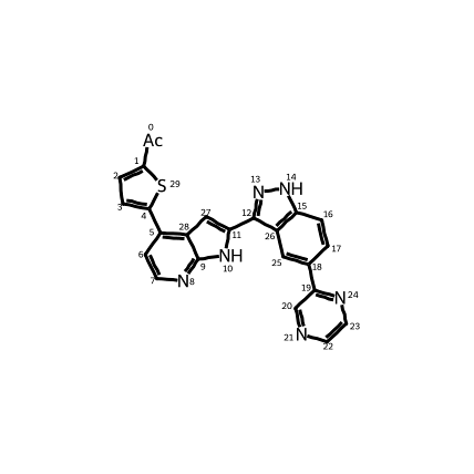 CC(=O)c1ccc(-c2ccnc3[nH]c(-c4n[nH]c5ccc(-c6cnccn6)cc45)cc23)s1